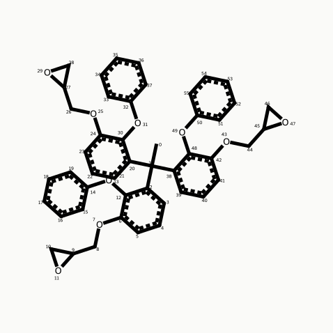 CC(c1cccc(OCC2CO2)c1Oc1ccccc1)(c1cccc(OCC2CO2)c1Oc1ccccc1)c1cccc(OCC2CO2)c1Oc1ccccc1